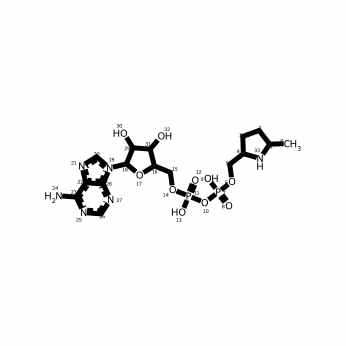 CC1CCC(COP(=O)(O)OP(=O)(O)OCC2OC(n3cnc4c(N)ncnc43)C(O)C2O)N1